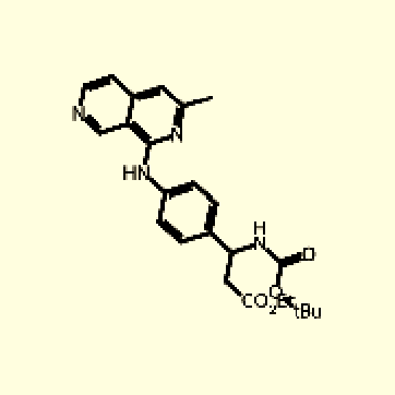 CCOC(=O)CC(NC(=O)OC(C)(C)C)c1ccc(Nc2nc(C)cc3ccncc23)cc1